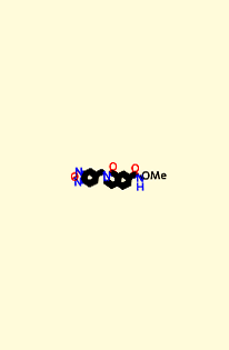 CONC(=O)c1ccc2ccn(Cc3ccc4nonc4c3)c(=O)c2c1